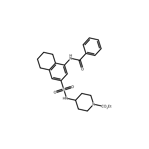 CCOC(=O)N1CCC(NS(=O)(=O)c2cc3c(c(NC(=O)c4ccccc4)c2)CCCC3)CC1